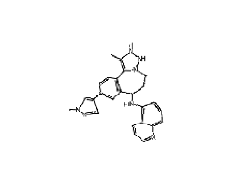 CC1=C2c3ccc(-c4cnn(C)c4)cc3C(Nc3cccc4ncccc34)CCN2NN1